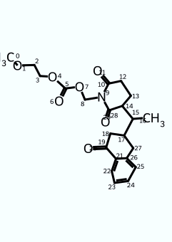 COCCOC(=O)OCN1C(=O)CCC(C(C)C2CC(=O)c3ccccc3C2)C1=O